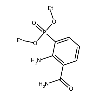 CCOP(=O)(OCC)c1cccc(C(N)=O)c1N